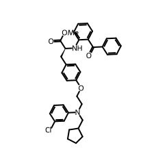 COC(=O)[C@H](Cc1ccc(OCCN(CC2CCCC2)c2cccc(Cl)c2)cc1)Nc1ccccc1C(=O)c1ccccc1